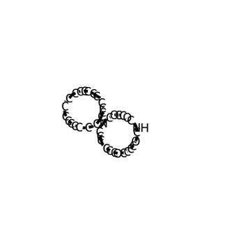 C1CCCCCCCCCCCCC(N2CCCCCCCCOCCCCOCCNCCOCCOCC2)CCCCCCCCCCCC1